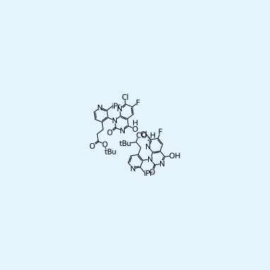 CC(C)c1nccc(CC(C(=O)O)C(C)(C)C)c1-n1c(=O)nc(O)c2cc(F)c(Cl)nc21.CC(C)c1nccc(CCC(=O)OC(C)(C)C)c1-n1c(=O)nc(O)c2cc(F)c(Cl)nc21